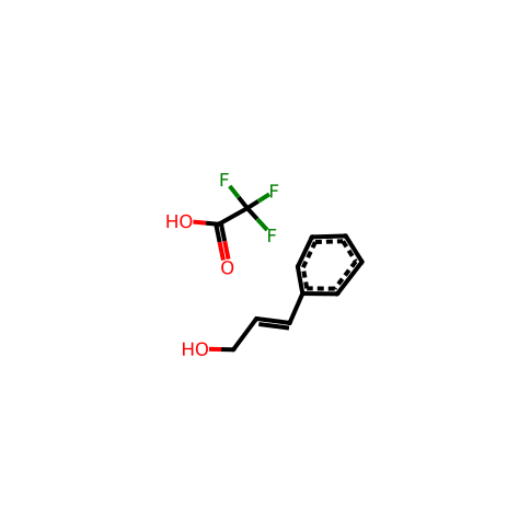 O=C(O)C(F)(F)F.OCC=Cc1ccccc1